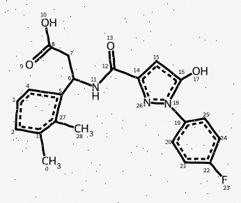 Cc1cccc(C(CC(=O)O)NC(=O)c2cc(O)n(-c3ccc(F)cc3)n2)c1C